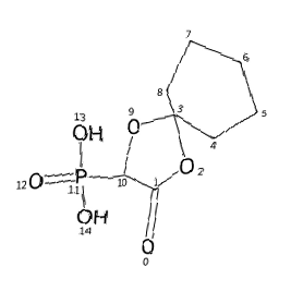 O=C1OC2(CCCCC2)OC1P(=O)(O)O